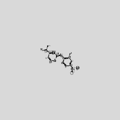 Cc1cc([N+](=O)[O-])ccc1N=c1nc(C(C)C)ccs1